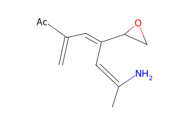 C=C(/C=C(\C=C(\C)N)C1CO1)C(C)=O